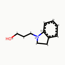 OCCCN1CCc2ccccc21